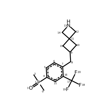 CP(C)(=O)c1ccc(CC2CC3(CNC3)C2)c(C(F)(F)F)c1